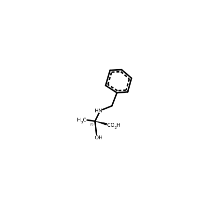 C[C@@](O)(NCc1ccccc1)C(=O)O